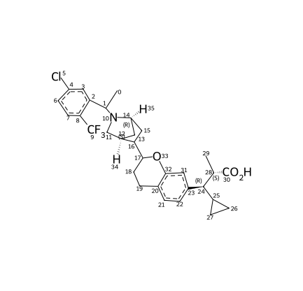 CC(c1cc(Cl)ccc1C(F)(F)F)N1C[C@H]2C[C@@H]1CC2C1CCc2ccc([C@H](C3CC3)[C@H](C)C(=O)O)cc2O1